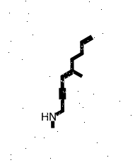 C=CCC/C(C)=C/C#CCNC